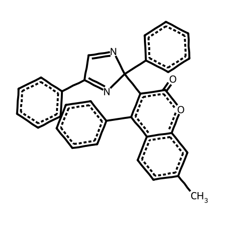 Cc1ccc2c(-c3ccccc3)c(C3(c4ccccc4)N=CC(c4ccccc4)=N3)c(=O)oc2c1